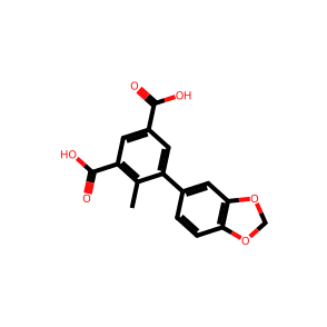 Cc1c(C(=O)O)cc(C(=O)O)cc1-c1ccc2c(c1)OCO2